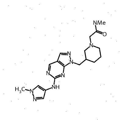 CNC(=O)CN1CCCC(Cn2ncc3cnc(Nc4cnn(C)c4)nc32)C1